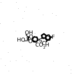 O=C(O)C1=CC2(CC[C@H]1S[C@H]1CCc3cc(F)cc(Cl)c31)O[C@H](CO)[C@@H](CO)O2